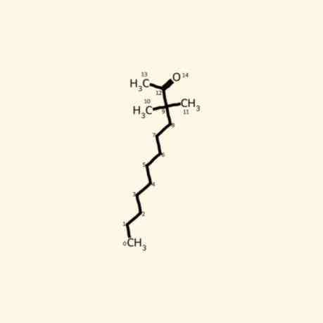 CCCCCCCCCC(C)(C)C(C)=O